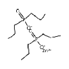 CCCP(=O)([O-])CCC.CCCP(=O)([O-])CCC.[Zn+2]